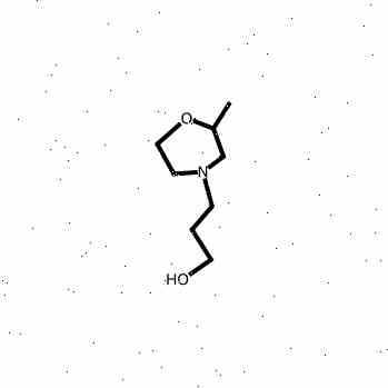 CC1CN(CCCO)CCO1